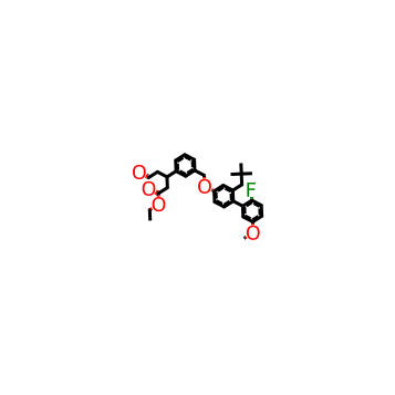 CCOC(=O)CC(CC=O)c1cccc(COc2ccc(-c3cc(OC)ccc3F)c(CC(C)(C)C)c2)c1